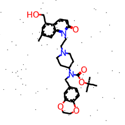 Cc1cc(CO)c2ccc(=O)n(CCN3CCC(N(Cc4ccc5c(c4)OCCO5)C(=O)OC(C)(C)C)CC3)c2c1